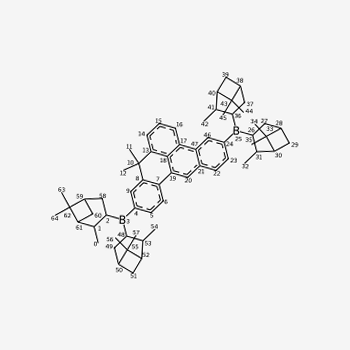 CC1C(B(c2ccc3c(c2)C(C)(C)c2cccc4c2c-3cc2ccc(B(C3CC5CC(C3C)C5(C)C)C3CC5CC(C3C)C5(C)C)cc24)C2CC3CC(C2C)C3(C)C)CC2CC1C2(C)C